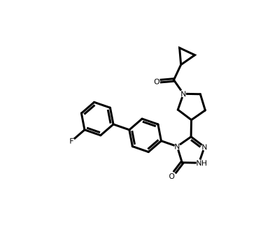 O=C(C1CC1)N1CCC(c2n[nH]c(=O)n2-c2ccc(-c3cccc(F)c3)cc2)C1